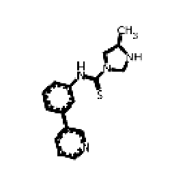 CC1CN(C(=S)Nc2cccc(-c3cccnc3)c2)CN1